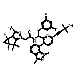 Cc1nn(C)c2c(-c3ccc(C#CC(C)(C)O)nc3[C@H](Cc3cc(F)cc(F)c3)NC(=O)Cn3nc(C(F)(F)F)c4c3C(F)(F)[C@@H]3C[C@H]43)cccc12